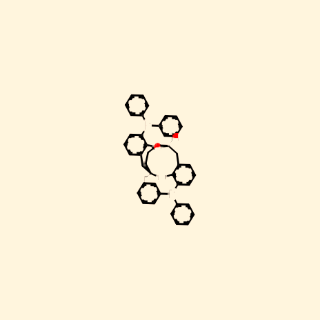 c1ccc(P(c2ccccc2)c2cccc3c2O[C@H]2CCC[C@@H](C3)Oc3c(cccc3P(c3ccccc3)c3ccccc3)C2)cc1